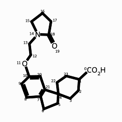 O=C(O)C1CCC2(CCc3ccc(OCCN4CCCC4=O)cc32)CC1